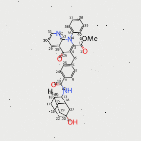 COC(=O)c1c(Cc2ccc(C(=O)NC3C4CC5C[C@@H]3CC(O)(C5)C4)cc2)c(=O)c2cccnc2n1-c1ccccc1